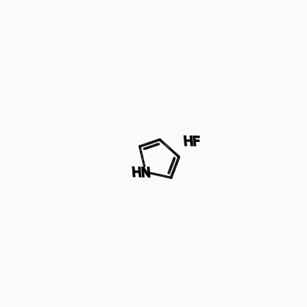 F.c1cc[nH]c1